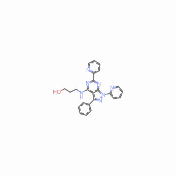 OCCCNc1nc(-c2ccccn2)nc2c1c(-c1ccccc1)nn2-c1ccccn1